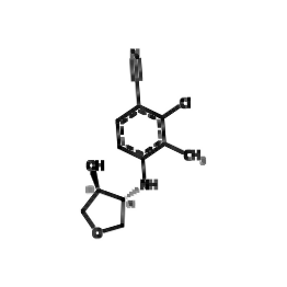 Cc1c(N[C@@H]2COC[C@H]2O)ccc(C#N)c1Cl